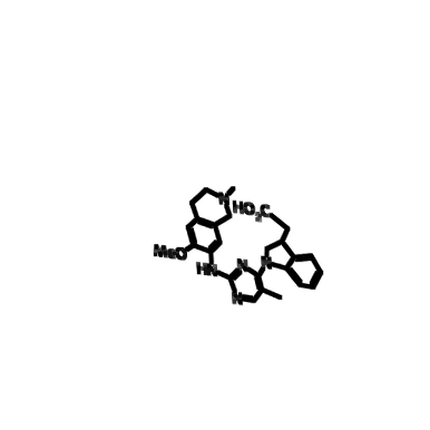 COc1cc2c(cc1Nc1ncc(C)c(N3CC(CC(=O)O)c4ccccc43)n1)CN(C)CC2